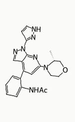 CC(=O)Nc1ccccc1-c1cc(N2CCOC[C@H]2C)nc2c1cnn2-c1cc[nH]n1